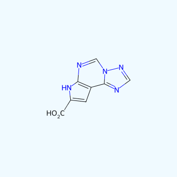 O=C(O)c1cc2c(ncn3ncnc23)[nH]1